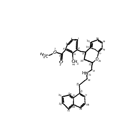 COC(=O)c1cccc(C2CC(CNCCc3cccc4ccccc34)Oc3ccccc32)c1C